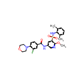 COc1ncc(NC(=O)c2ccc(N3CCOCC3)c(F)c2)cc1S(=O)(=O)Nc1c(C)cccc1C